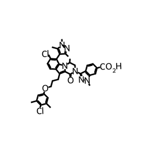 Cc1cc(OCCCc2c3n(c4c(-c5c(C)nn(C)c5C)c(Cl)ccc24)C(C)CN(c2nn(C)c4cc(C(=O)O)ccc24)C3=O)cc(C)c1Cl